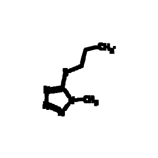 [CH2]CCSc1nnnn1C